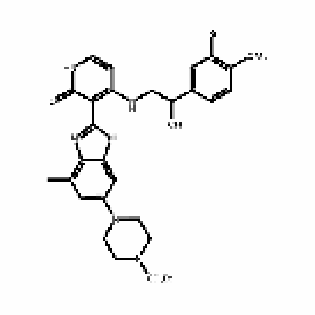 CCOC(=O)N1CCN(c2cc(C)c3nc(-c4c(NCC(O)c5ccc(OC)c(Br)c5)cc[nH]c4=O)[nH]c3c2)CC1